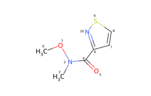 CON(C)C(=O)c1ccsn1